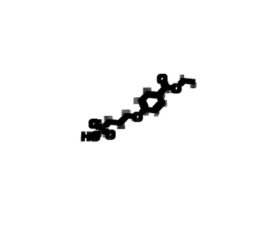 CCOC(=O)c1ccc(OCCCS(=O)(=O)O)cc1